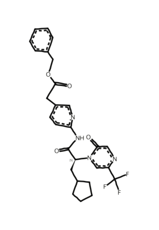 O=C(Cc1ccc(NC(=O)[C@H](CC2CCCC2)n2cc(C(F)(F)F)ncc2=O)nc1)OCc1ccccc1